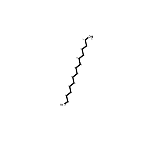 O[CH]CCCCCCCCCCCCCO